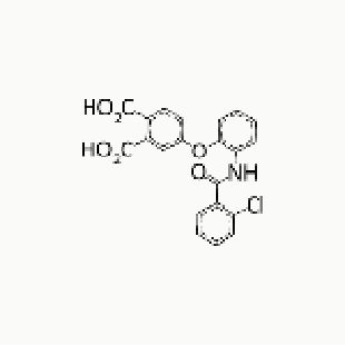 O=C(Nc1ccccc1Oc1ccc(C(=O)O)c(C(=O)O)c1)c1ccccc1Cl